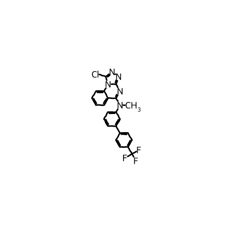 CN(c1cccc(-c2ccc(C(F)(F)F)cc2)c1)c1nc2nnc(Cl)n2c2ccccc12